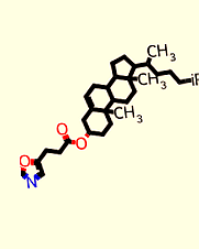 CC(C)CCCC(C)C1CCC2C3CC=C4CC(OC(=O)CCc5cnco5)CCC4(C)C3CCC12C